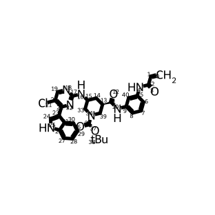 C=CC(=O)Nc1cccc(NC(=O)[C@@H]2CC(Nc3ncc(Cl)c(-c4c[nH]c5ccccc45)n3)CN(C(=O)OC(C)(C)C)C2)c1